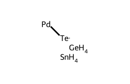 [GeH4].[Pd][Te].[SnH4]